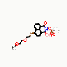 CCOCCOCCSc1ccc2c3c(cccc13)C(=O)N(OS(=O)(=O)C(F)(F)F)C2O